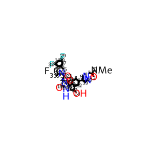 CNC(=O)Cn1cc(-c2ccc3c(c2)[C@@H](O)C[C@]32NC(=O)N(CC(=O)N(Cc3cc(F)cc(F)c3)C(C)C(F)(F)F)C2=O)cn1